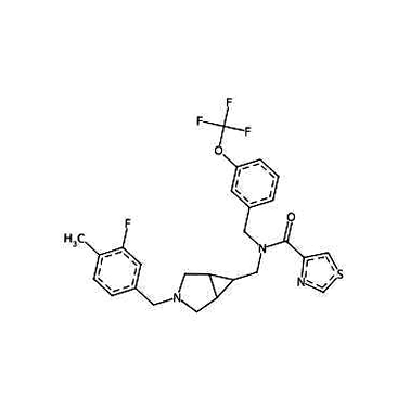 Cc1ccc(CN2CC3C(C2)C3CN(Cc2cccc(OC(F)(F)F)c2)C(=O)c2cscn2)cc1F